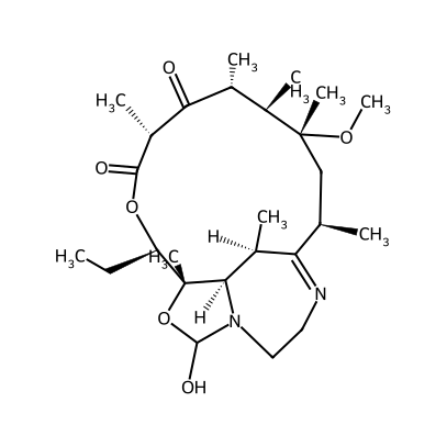 CC[C@H]1OC(=O)[C@H](C)C(=O)[C@H](C)[C@@H](C)[C@](C)(OC)C[C@@H](C)C2=NCCN3C(O)O[C@@]1(C)[C@H]3[C@H]2C